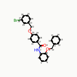 O=C(Nc1ccccc1OCc1ccccc1)c1ccc(OCc2cccc(Br)c2)cc1